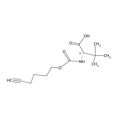 C#CCCCCOC(=O)N[C@H](C(=O)O)C(C)(C)C